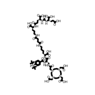 CC(C)(C)[Si](F)(c1ccc(C(=O)N[C@@H](CNC(=O)CN2CCN(CC(=O)O)CCN(CC(=O)O)CCN(CC(=O)O)CC2)C(=O)N[C@@H](CCCCNC(=O)CCC(=O)NCCC[C@H](NC(=O)CC[C@H](NC(=O)N[C@@H](CCC(=O)O)C(=O)O)C(=O)O)C(=O)O)C(=O)O)cc1)C(C)(C)C